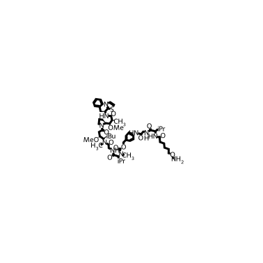 CC[C@H](C)C([C@@H](CC(=O)N1CCC[C@H]1[C@H](OC)[C@@H](C)C(=O)N[C@@H](Cc1ccccc1)c1nccs1)OC)N(C)C(=O)CNC(=O)C(C(C)C)N(C)C(=O)OCc1ccc(NC(=O)CNC(=O)C(NC(=O)CCCCCON)C(C)C)cc1